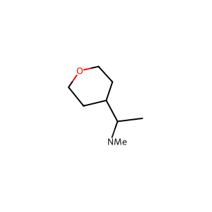 CNC(C)C1CCOCC1